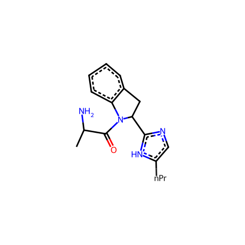 CCCc1cnc(C2Cc3ccccc3N2C(=O)C(C)N)[nH]1